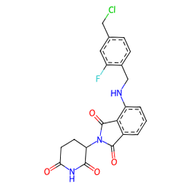 O=C1CCC(N2C(=O)c3cccc(NCc4ccc(CCl)cc4F)c3C2=O)C(=O)N1